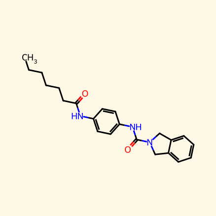 CCCCCCC(=O)Nc1ccc(NC(=O)N2Cc3ccccc3C2)cc1